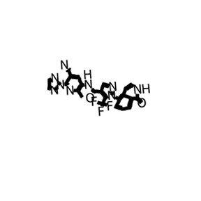 Cc1nc(-n2nccn2)c(C#N)cc1NC(=O)c1cnn(-c2cccc3c(=O)[nH]ccc23)c1C(F)(F)F